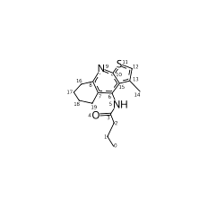 CCCC(=O)Nc1c2c(nc3scc(C)c13)CCCC2